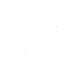 O=S(=O)(O)C(F)(F)F.O=S(=O)(O)C(F)(F)F.[Hf]